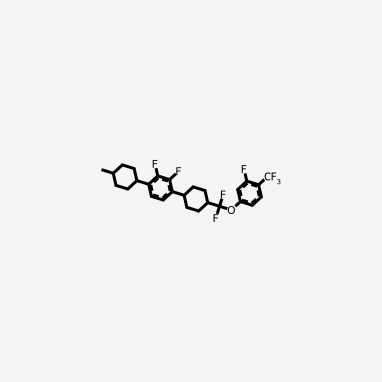 CC1CCC(c2ccc(C3CCC(C(F)(F)Oc4ccc(C(F)(F)F)c(F)c4)CC3)c(F)c2F)CC1